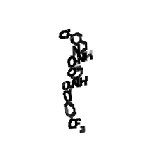 O=C(COc1ccc(C(F)(F)F)cc1)N[C@@H]1CC[C@@H](C(=O)Nc2ccc3ccc(Cl)cc3n2)OC1